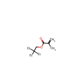 C=C(C)C(=O)OCC(CC)(CC)CC